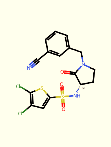 N#Cc1cccc(CN2CC[C@H](NS(=O)(=O)c3cc(Cl)c(Cl)s3)C2=O)c1